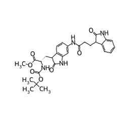 COC(=O)[C@H](CC1C(=O)Nc2cc(NC(=O)CCC3C(=O)Nc4ccccc43)ccc21)NC(=O)OC(C)(C)C